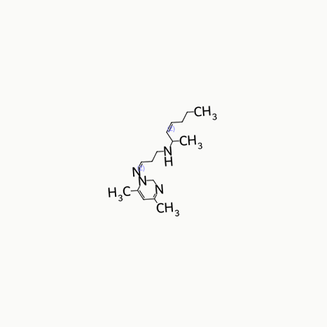 CCC/C=C\C(C)NCC/C=N\N1CN=C(C)C=C1C